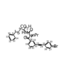 CCCN(C(=O)N[C@@H](CSCc1ccccc1)C(=O)O)C(=O)c1cccc(C#Cc2ccc(Br)cc2)c1